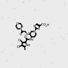 Cc1[nH]c(C(=O)N[C@@H]2CCN(c3ncc(C(=O)O)s3)C[C@@H]2OCC(=O)N2CCOCC2)c(Cl)c1Cl